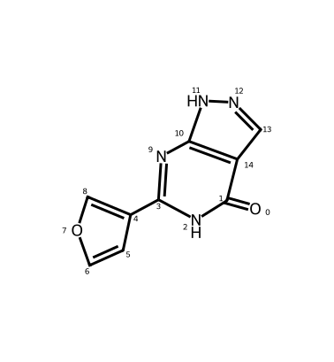 O=c1[nH]c(-c2ccoc2)nc2[nH]ncc12